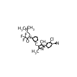 Cc1nn(-c2ccc(C#N)c(Cl)c2)c(C)c1Cc1cccc(N(CCN(C)C)C(=O)C(F)(F)F)c1